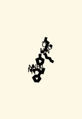 CCCCc1nc(C(CCC)(OC)OC)nn1Cc1ccc(-n2ccc(-c3ccccc3)c2-c2nnn[nH]2)cc1